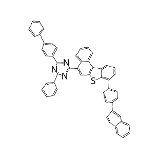 c1ccc(-c2ccc(-c3nc(-c4ccccc4)nc(-c4cc5sc6c(-c7ccc(-c8ccc9ccccc9c8)cc7)cccc6c5c5ccccc45)n3)cc2)cc1